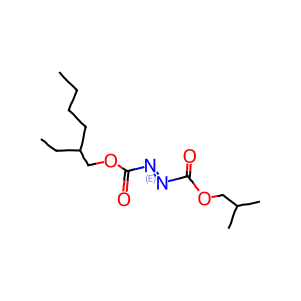 CCCCC(CC)COC(=O)/N=N/C(=O)OCC(C)C